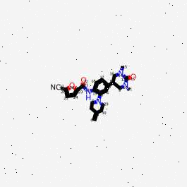 C=C1CCN(c2cc(C3CN(C)C(=O)N(C)C3)ccc2NC(=O)c2ccc(C#N)o2)CC1